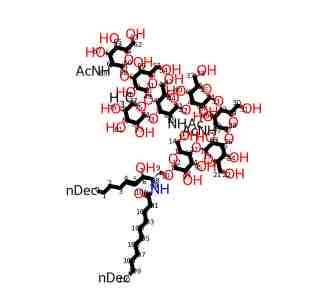 CCCCCCCCCCCCC/C=C/[C@@H](O)[C@H](CO[C@@H]1OC(CO)[C@@H](O[C@@H]2OC(CO)[C@H](O)[C@H](O[C@@H]3OC(CO)[C@@H](O[C@@H]4OC(CO)[C@H](O)[C@H](O[C@@H]5OC(CO)[C@@H](O[C@@H]6OC(CO)[C@H](O)[C@H](O[C@@H]7OC(CO)[C@@H](O)[C@H](O)C7NC(C)=O)C6O)[C@H](O[C@H]6OC(C)[C@@H](O)C(O)[C@@H]6O)C5NC(C)=O)C4O)[C@H](O)C3NC(C)=O)C2O)[C@H](O)C1O)NC(=O)CCCCCCCCCCCCCCCCCCC